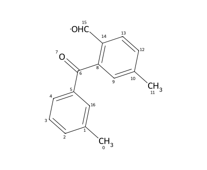 Cc1cccc(C(=O)c2cc(C)ccc2[C]=O)c1